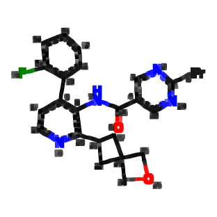 CC(C)c1ncc(C(=O)Nc2c(-c3ccccc3F)ccnc2C2CC3(COC3)C2)cn1